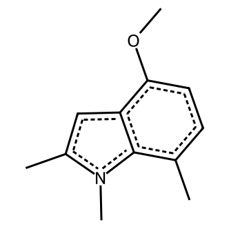 COc1ccc(C)c2c1cc(C)n2C